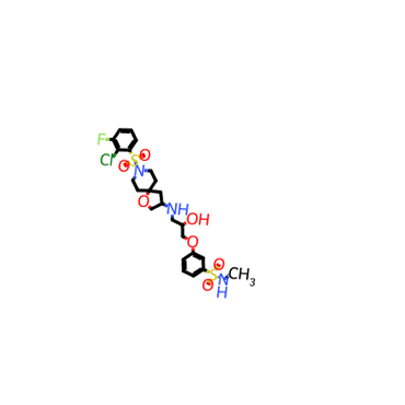 CNS(=O)(=O)c1cccc(OCC(O)CNC2COC3(CCN(S(=O)(=O)c4cccc(F)c4Cl)CC3)C2)c1